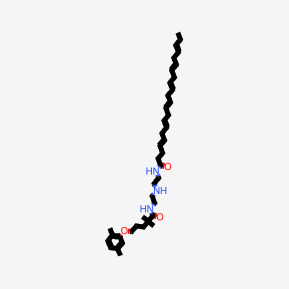 CCC=CCC=CCC=CCC=CCC=CCC=CCCC(=O)NCCNCCNC(=O)C(C)(C)CCCOc1cc(C)ccc1C